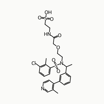 Cc1cnccc1-c1cccc(C(C)N(CCOCC(=O)NCCS(=O)(=O)O)S(=O)(=O)c2cccc(Cl)c2C)c1